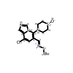 CC(C)(C)S/N=C/c1cc(Cl)c2cncn2c1N1CC[S+]([O-])CC1